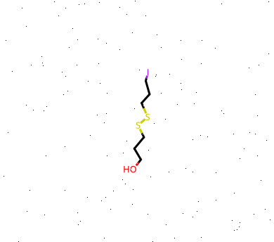 OCCCSSCCCI